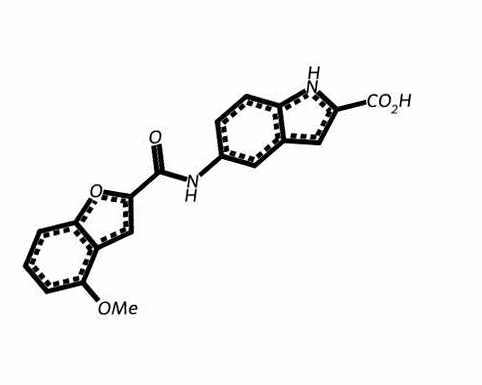 COc1cccc2oc(C(=O)Nc3ccc4[nH]c(C(=O)O)cc4c3)cc12